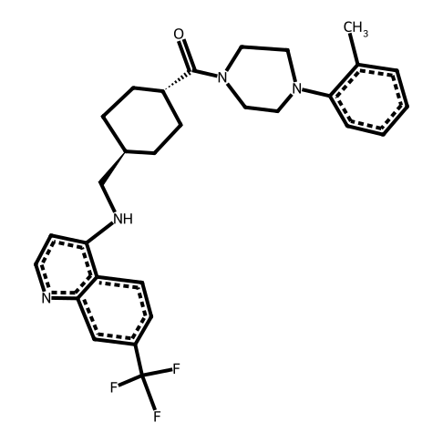 Cc1ccccc1N1CCN(C(=O)[C@H]2CC[C@H](CNc3ccnc4cc(C(F)(F)F)ccc34)CC2)CC1